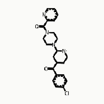 O=C(c1ccc(Cl)cc1)C1CC[N]C(N2CCN(C(=O)c3ccccn3)CC2)C1